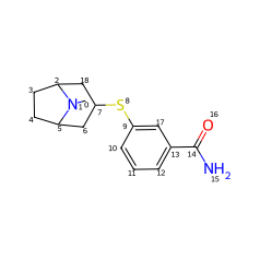 CN1C2CCC1CC(Sc1cccc(C(N)=O)c1)C2